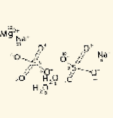 O.O.O=S(=O)([O-])[O-].O=S(=O)([O-])[O-].[Mg+2].[Na+].[Na+]